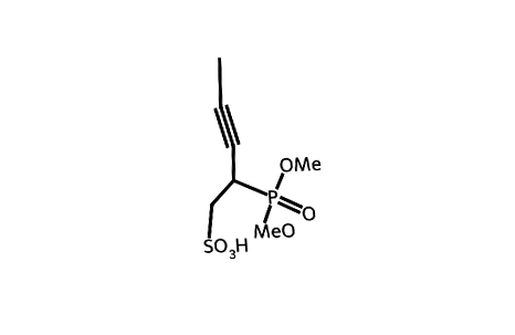 CC#CC(CS(=O)(=O)O)P(=O)(OC)OC